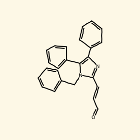 O=CC=Cc1nc(-c2ccccc2)c(-c2ccccc2)n1Cc1ccccc1